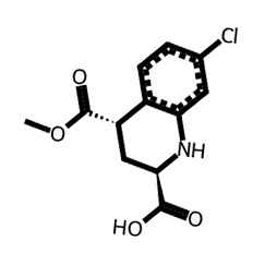 COC(=O)[C@H]1C[C@H](C(=O)O)Nc2cc(Cl)ccc21